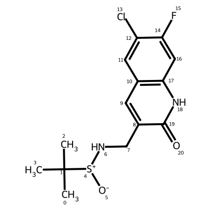 CC(C)(C)[S+]([O-])NCc1cc2cc(Cl)c(F)cc2[nH]c1=O